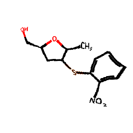 CC1O[C@H](CO)CC1Sc1ccccc1[N+](=O)[O-]